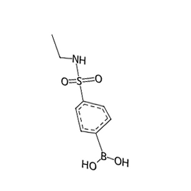 CCNS(=O)(=O)c1ccc(B(O)O)cc1